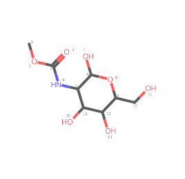 COC(=O)NC1C(O)OC(CO)C(O)C1O